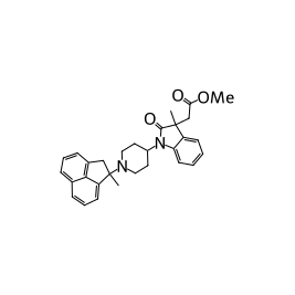 COC(=O)CC1(C)C(=O)N(C2CCN(C3(C)Cc4cccc5cccc3c45)CC2)c2ccccc21